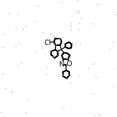 Clc1cccc2c1-c1ccccc1C2(c1ccccc1)c1ccc2oc(-c3ccccc3)nc2c1